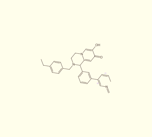 C=N/C=C(\C=C/C)c1cccc(C2c3cc(=O)c(O)cn3CCN2Cc2ccc(CC)cc2)c1